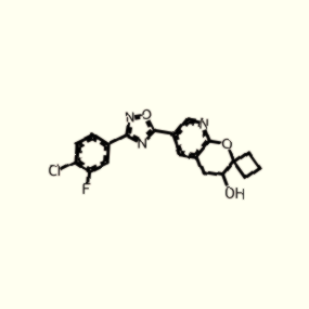 OC1Cc2cc(-c3nc(-c4ccc(Cl)c(F)c4)no3)cnc2OC12CCC2